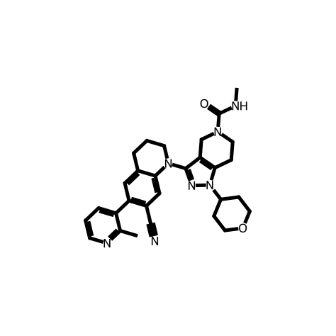 CNC(=O)N1CCc2c(c(N3CCCc4cc(-c5cccnc5C)c(C#N)cc43)nn2C2CCOCC2)C1